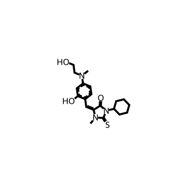 CN1C(=S)N(C2CCCCC2)C(=O)C1=Cc1ccc(N(C)CCO)cc1O